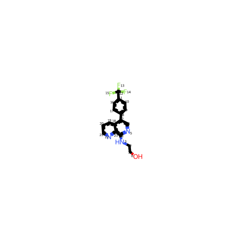 OCCNc1ncc(-c2ccc(C(F)(F)F)cc2)c2cccnc12